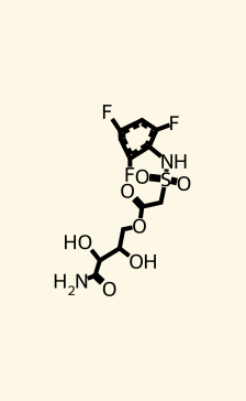 NC(=O)C(O)C(O)COC(=O)CS(=O)(=O)Nc1c(F)cc(F)cc1F